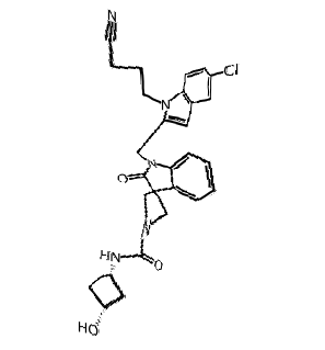 N#CCCCn1c(CN2C(=O)C3(CN(C(=O)N[C@H]4C[C@@H](O)C4)C3)c3ccccc32)cc2cc(Cl)ccc21